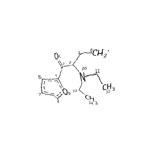 [CH2]CC(C(=O)c1ccco1)N(CC)CC